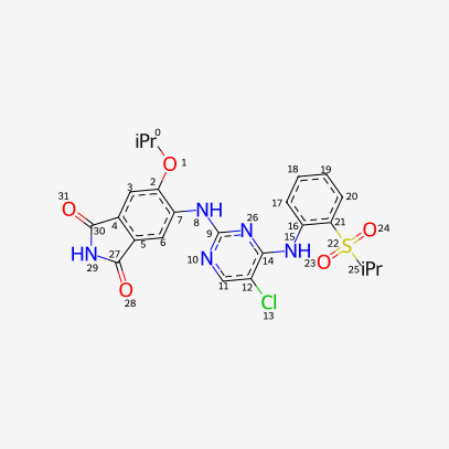 CC(C)Oc1cc2c(cc1Nc1ncc(Cl)c(Nc3ccccc3S(=O)(=O)C(C)C)n1)C(=O)NC2=O